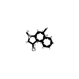 Cc1cc2c(c3ccccc13)C(Cl)CN2C